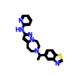 CC(c1ccc2scnc2c1)N1CCc2cc(Nc3ccccn3)nn2CC1